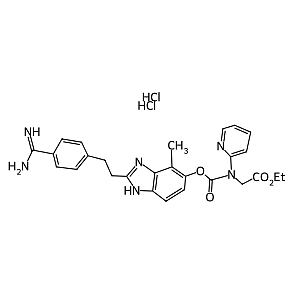 CCOC(=O)CN(C(=O)Oc1ccc2[nH]c(CCc3ccc(C(=N)N)cc3)nc2c1C)c1ccccn1.Cl.Cl